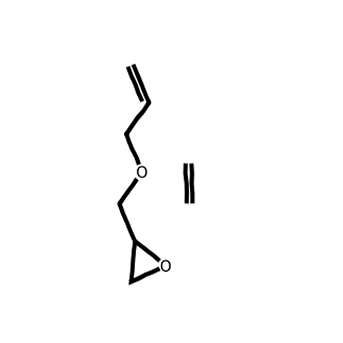 C=C.C=CCOCC1CO1